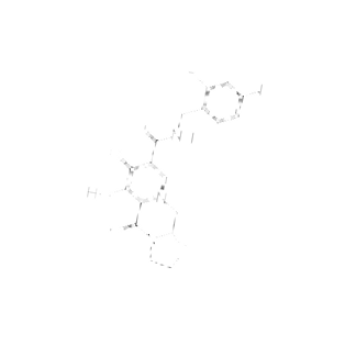 C[C@H]1CSC2Cn3cc(C(=O)NCc4ccc(F)cc4F)c(=O)c(O)c3C(=O)N21